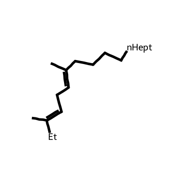 CCCCCCCCCCCC(C)=CCC=C(C)CC